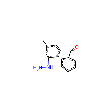 Cc1cccc(NN)c1.O=Cc1ccccc1